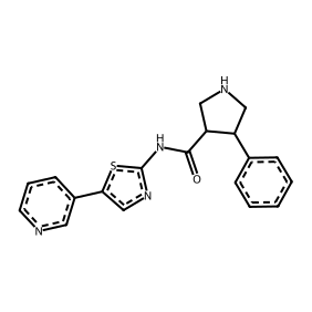 O=C(Nc1ncc(-c2cccnc2)s1)C1CNCC1c1ccccc1